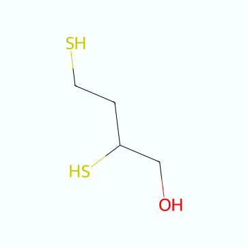 OCC(S)CCS